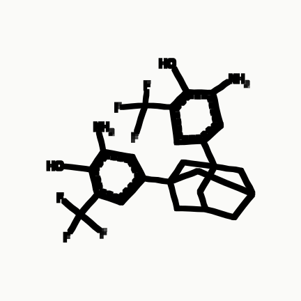 Nc1cc(C23CC4CC(C2)CC(c2cc(N)c(O)c(C(F)(F)F)c2)(C4)C3)cc(C(F)(F)F)c1O